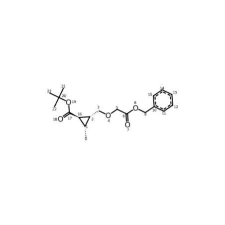 C[C@H]1[C@@H](COCC(=O)OCc2ccccc2)[C@@H]1C(=O)OC(C)(C)C